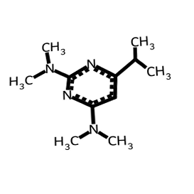 CC(C)c1cc(N(C)C)nc(N(C)C)n1